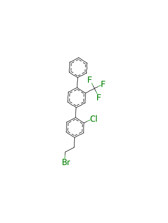 FC(F)(F)c1cc(-c2ccc(CCBr)cc2Cl)ccc1-c1ccccc1